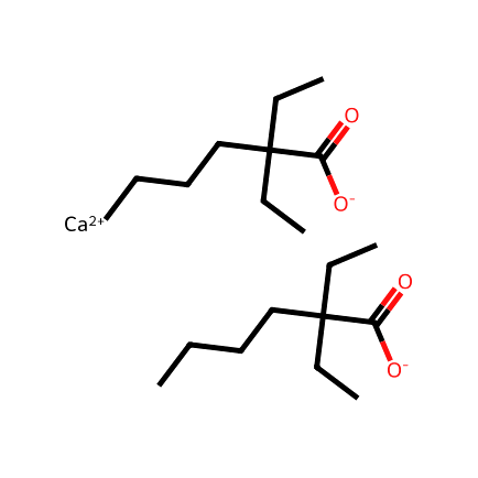 CCCCC(CC)(CC)C(=O)[O-].CCCCC(CC)(CC)C(=O)[O-].[Ca+2]